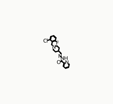 O=C(N/N=C/C1CCN(Cc2c(F)cccc2Cl)CC1)c1ccccn1